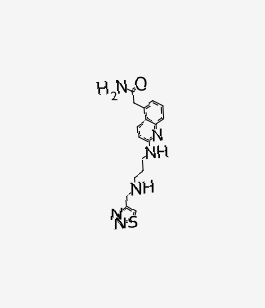 NC(=O)Cc1cccc2nc(NCCCNCc3csnn3)ccc12